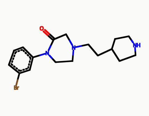 O=C1CN(CCC2CCNCC2)CCN1c1cccc(Br)c1